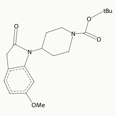 COc1ccc2c(c1)N(C1CCN(C(=O)OC(C)(C)C)CC1)C(=O)C2